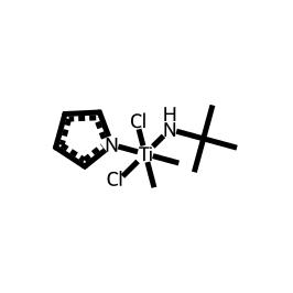 CC(C)(C)[NH][Ti]([CH3])([CH3])([Cl])([Cl])[n]1cccc1